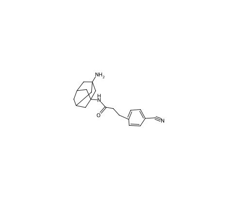 N#Cc1ccc(CCC(=O)NC23CC4CC(CC(N)(C4)C2)C3)cc1